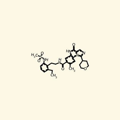 CCc1cccc(NS(C)(=O)=O)c1CCNC(=O)c1cc2[nH]c(=O)c3cnc(C4CCOCC4)n3c2cc1C